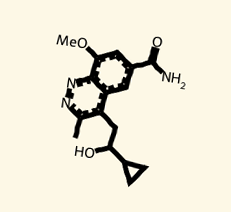 COc1cc(C(N)=O)cc2c(CC(O)C3CC3)c(C)nnc12